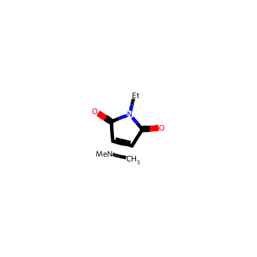 CCN1C(=O)C=CC1=O.CNC